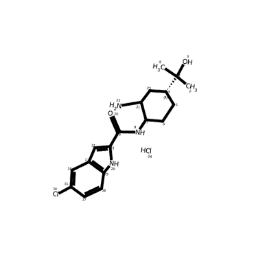 CC(C)(O)[C@@H]1CCC(NC(=O)c2cc3cc(Cl)ccc3[nH]2)C(N)C1.Cl